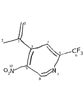 C=C(C)c1cc(C(F)(F)F)ncc1[N+](=O)[O-]